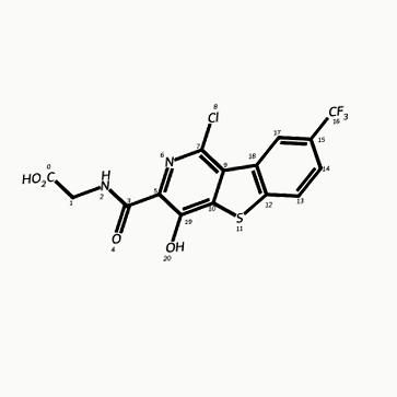 O=C(O)CNC(=O)c1nc(Cl)c2c(sc3ccc(C(F)(F)F)cc32)c1O